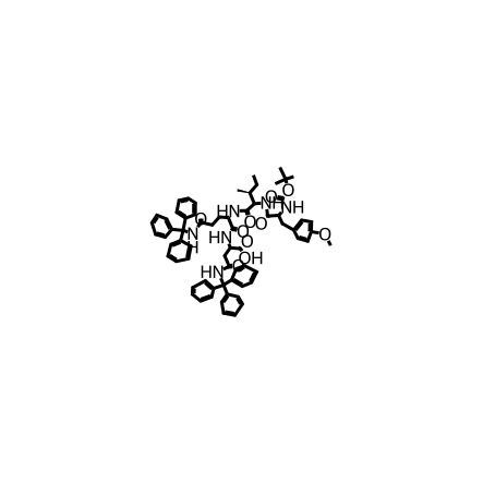 CC[C@H](C)C(NC(=O)C(Cc1ccc(OC)cc1)NC(=O)OC(C)(C)C)C(=O)NC(CCC(=O)NC(c1ccccc1)(c1ccccc1)c1ccccc1)C(=O)NC(CC(=O)NC(c1ccccc1)(c1ccccc1)c1ccccc1)C(=O)O